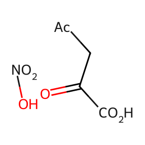 CC(=O)CC(=O)C(=O)O.O=[N+]([O-])O